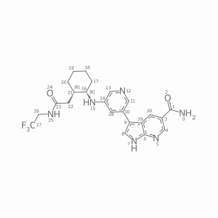 NC(=O)c1cnc2[nH]cc(-c3cncc(N[C@@H]4CCCC[C@@H]4CC(=O)NCC(F)(F)F)c3)c2c1